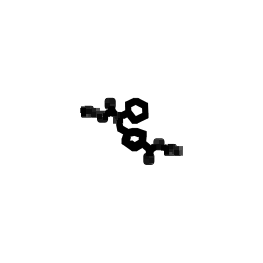 CC(C)(C)OC(=O)c1ccc(CN(C(=O)OC(C)(C)C)C2CCCCC2)cc1